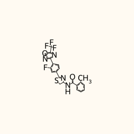 Cc1ccccc1C(=O)NC1CSC(c2ccc(-c3noc(C(F)(F)F)n3)c(F)c2)=N1